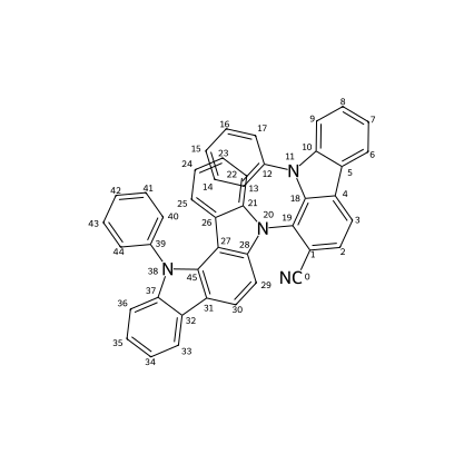 N#Cc1ccc2c3ccccc3n(-c3ccccc3)c2c1-n1c2ccccc2c2c1ccc1c3ccccc3n(-c3ccccc3)c12